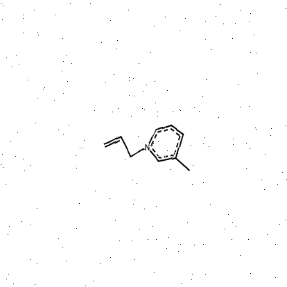 C=CC[n+]1cccc(C)c1